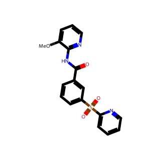 COc1cccnc1NC(=O)c1cccc(S(=O)(=O)c2ccccn2)c1